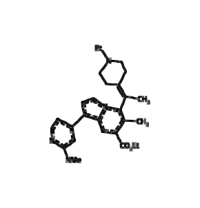 CCOC(=O)c1cc2c(-c3ccnc(NC)c3)ccn2c(C(C)=C2CCN(CC)CC2)c1C